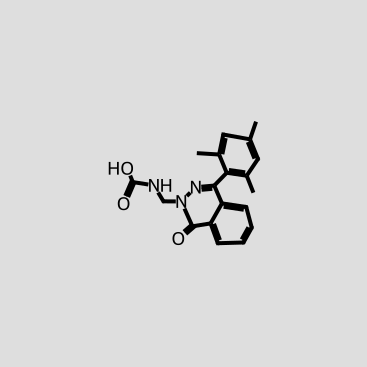 Cc1cc(C)c(-c2nn(CNC(=O)O)c(=O)c3ccccc23)c(C)c1